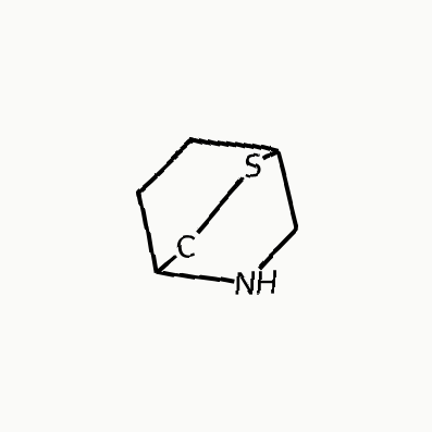 C1CC2CNC1CS2